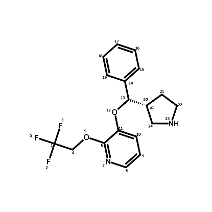 FC(F)(F)COc1ncccc1OC(c1ccccc1)[C@@H]1CCNC1